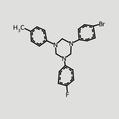 Cc1ccc(N2CN(c3ccc(F)cc3)CN(c3ccc(Br)cc3)C2)cc1